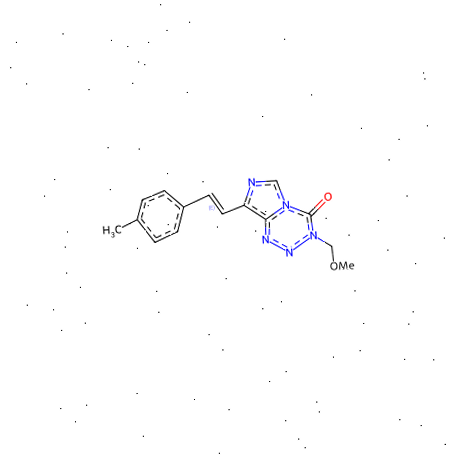 COCn1nnc2c(/C=C/c3ccc(C)cc3)ncn2c1=O